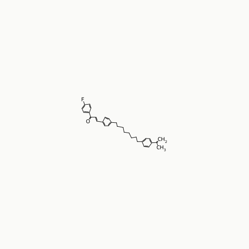 C=C(C)c1ccc(CCCCCCCCc2ccc(C=CC(=O)c3ccc(F)cc3)cc2)cc1